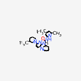 Cc1cc(C)nc(NC(=O)N2c3nc(N4CCCC(C(F)(F)F)C4)ccc3N3CCC[C@@H]2C3)c1